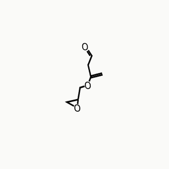 C=C(CC=O)OCC1CO1